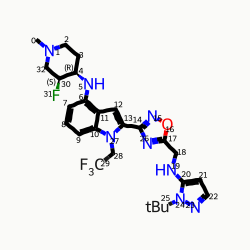 CN1CC[C@@H](Nc2cccc3c2cc(-c2noc(CNc4ccnn4C(C)(C)C)n2)n3CC(F)(F)F)[C@@H](F)C1